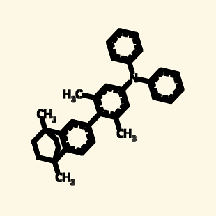 Cc1cc(N(c2ccccc2)c2ccccc2)cc(C)c1-c1ccc2c(c1)C1(C)CCC2(C)CC1